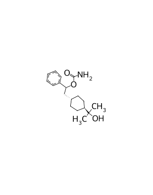 CC(C)(O)[C@H]1CC[C@H](CC(OC(N)=O)c2ccccc2)CC1